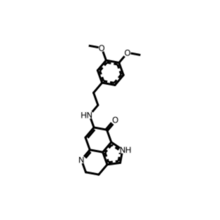 COc1ccc(CCNC2=CC3=NCCc4c[nH]c(c43)C2=O)cc1OC